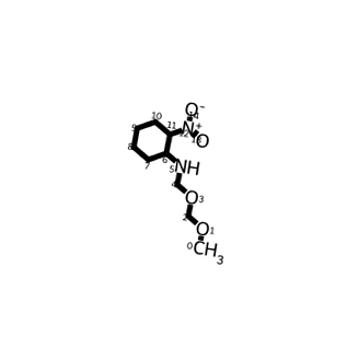 COCOCNC1CCCCC1[N+](=O)[O-]